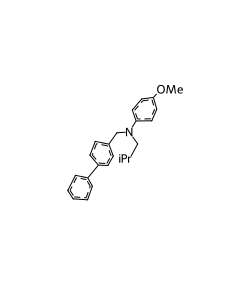 COc1ccc(N(Cc2ccc(-c3ccccc3)cc2)CC(C)C)cc1